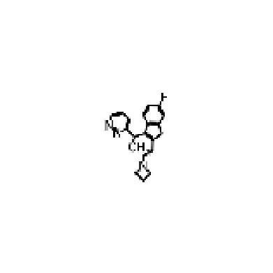 CC(C1=C(CCN2CCC2)Cc2cc(F)ccc21)c1cccnn1